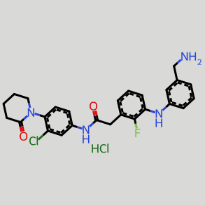 Cl.NCc1cccc(Nc2cccc(CC(=O)Nc3ccc(N4CCCCC4=O)c(Cl)c3)c2F)c1